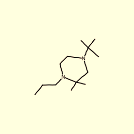 CCCN1CCN(C(C)(C)C)CC1(C)C